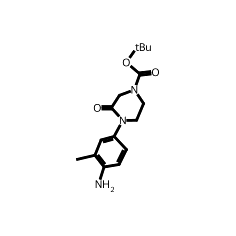 Cc1cc(N2CCN(C(=O)OC(C)(C)C)CC2=O)ccc1N